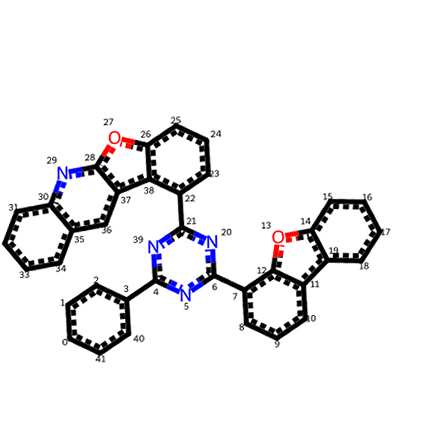 c1ccc(-c2nc(-c3cccc4c3oc3ccccc34)nc(-c3cccc4oc5nc6ccccc6cc5c34)n2)cc1